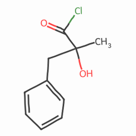 CC(O)(Cc1ccccc1)C(=O)Cl